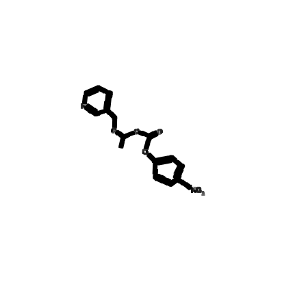 CC(OCc1cccnc1)OC(=O)Oc1ccc([N+](=O)[O-])cc1